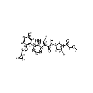 COCC(=O)N1C[C@H](NC(=O)c2c(C)[nH]c3c(-c4cc(C)ccc4OCC4CC4)ncnc23)C[C@@H]1C